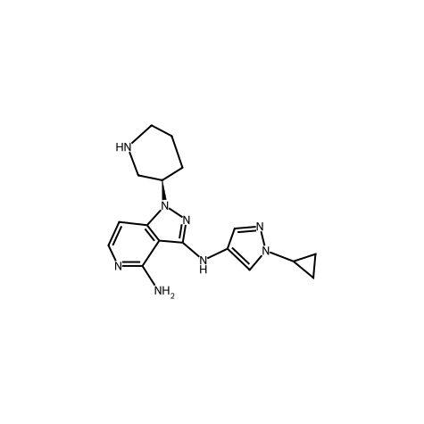 Nc1nccc2c1c(Nc1cnn(C3CC3)c1)nn2[C@@H]1CCCNC1